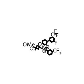 COC(=O)C1(C)CC2(CN(S(=O)(=O)c3cccc(C(F)(F)F)c3)c3cc(-c4cc(F)cc(OC(F)F)c4)ccc3O2)C1